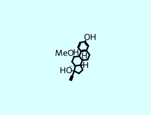 C#C[C@@]1(O)CC[C@H]2[C@@H]3CCc4cc(O)ccc4[C@H]3C(OC)C[C@@]21C